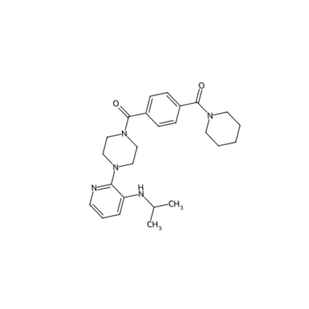 CC(C)Nc1cccnc1N1CCN(C(=O)c2ccc(C(=O)N3CCCCC3)cc2)CC1